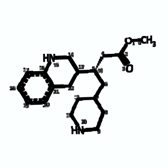 COC(=O)C[C@H](CC1CCNCC1)C1CNc2ccccc2C1